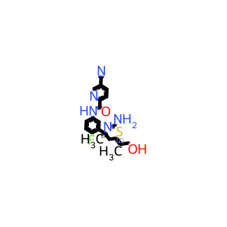 C/C(CO)=C1\C[C@@](C)(c2cc(NC(=O)c3ccc(C#N)cn3)ccc2F)N=C(N)S1